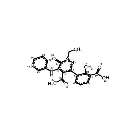 CCn1nc(-c2cccc(C(=O)O)c2C)c(C(C)=O)c(Nc2cccnc2)c1=O